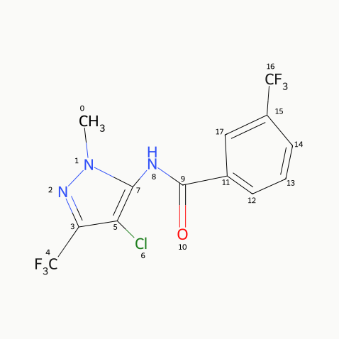 Cn1nc(C(F)(F)F)c(Cl)c1NC(=O)c1cccc(C(F)(F)F)c1